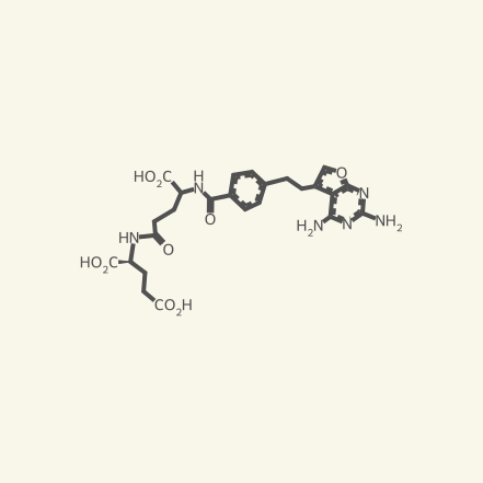 Nc1nc(N)c2c(CCc3ccc(C(=O)NC(CCC(=O)N[C@@H](CCC(=O)O)C(=O)O)C(=O)O)cc3)coc2n1